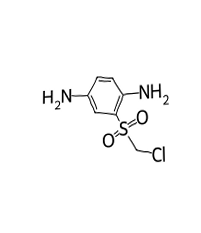 Nc1ccc(N)c(S(=O)(=O)CCl)c1